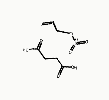 C=CCO[SH](=O)=O.O=C(O)CCC(=O)O